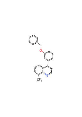 FC(F)(F)c1cccc2c(-c3cccc(OCc4ccccc4)c3)[c]cnc12